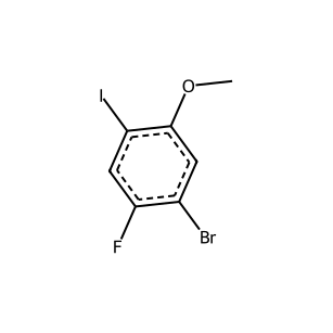 COc1cc(Br)c(F)cc1I